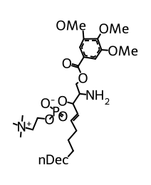 CCCCCCCCCCCCCC=CC(OP(=O)([O-])OCC[N+](C)(C)C)C(N)COC(=O)c1cc(OC)c(OC)c(OC)c1